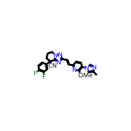 COc1nc(C=Cc2nc3n(n2)CCCC3(C#N)c2ccc(F)c(F)c2)ccc1-n1cnc(C)c1